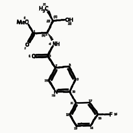 COC(=O)[C@@H](NC(=O)c1ccc(-c2cccc(F)c2)nc1)[C@@H](C)O